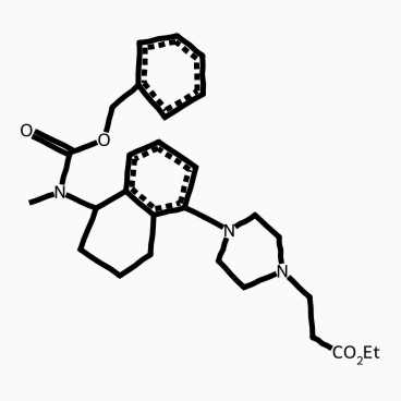 CCOC(=O)CCN1CCN(c2cccc3c2CCCC3N(C)C(=O)OCc2ccccc2)CC1